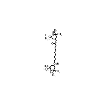 CC1(C)CC(OC(=O)CCCCCCC[CH2][Co](=[O])[CH]2CC(C)(C)NC(C)(C)C2)CC(C)(C)N1